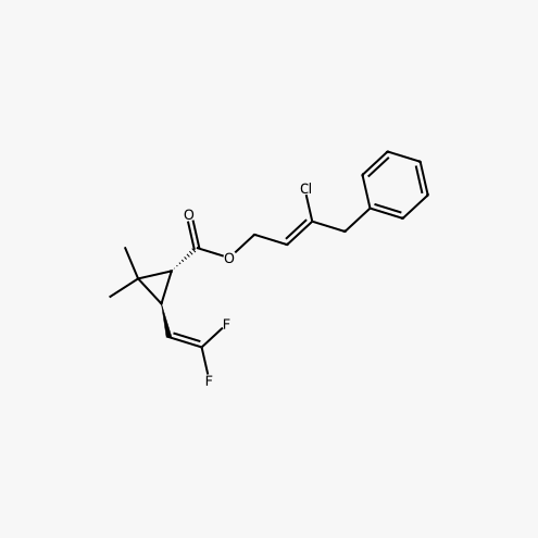 CC1(C)[C@H](C=C(F)F)[C@H]1C(=O)OC/C=C(\Cl)Cc1ccccc1